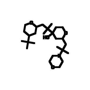 CC(C)(C)C1CCOC(CC(C)(C)C2(O)CCOC(CC(C)(C)N3CCOCC3)C2)C1